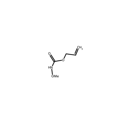 C=CCOC(=O)NOC